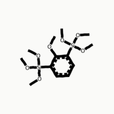 COc1c([Si](OC)(OC)OC)cccc1[Si](OC)(OC)OC